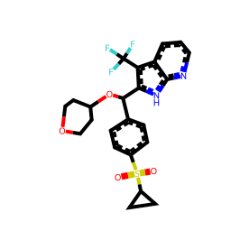 O=S(=O)(c1ccc(C(OC2CCOCC2)c2[nH]c3ncccc3c2C(F)(F)F)cc1)C1CC1